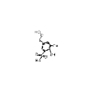 O=S(=O)(O)c1cc(SOO)cc(O)c1O